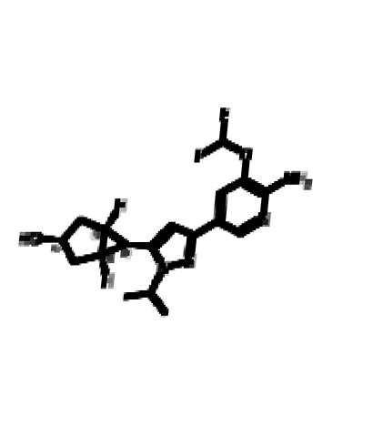 CC(C)n1nc(-c2cnc(N)c(OC(F)F)c2)cc1[C@H]1[C@@H]2C[C@@H](O)C[C@@H]21